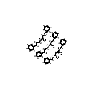 O=C(CC(=O)OCc1ccccc1)OCc1ccccc1.O=C(CCc1ccccc1)OCCCc1ccccc1.O=C(COc1ccccc1)OCCCc1ccccc1